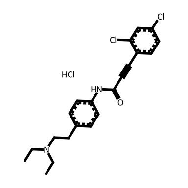 CCN(CC)CCc1ccc(NC(=O)C#Cc2ccc(Cl)cc2Cl)cc1.Cl